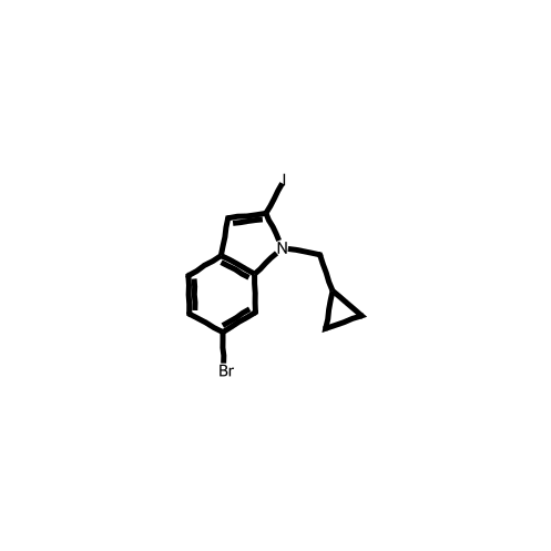 Brc1ccc2cc(I)n(CC3CC3)c2c1